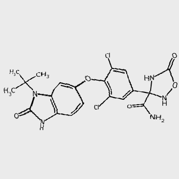 CC(C)(C)n1c(=O)[nH]c2ccc(Oc3c(Cl)cc(C4(C(N)=O)NOC(=O)N4)cc3Cl)cc21